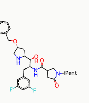 CCCC(C)N1CC(C(=O)N[C@@H](Cc2cc(F)cc(F)c2)[C@H](O)[C@H]2C[C@@H](OCc3ccccc3)CN2)CC1=O